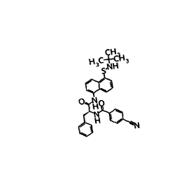 CC(C)(C)NSc1cccc2c(NC(=O)[C@H](Cc3ccccc3)NC(=O)c3ccc(C#N)cc3)cccc12